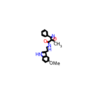 COc1ccc2[nH]cc(CCNC(=O)c3c(-c4ccccc4)noc3C)c2c1